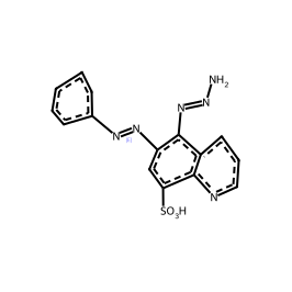 NN=Nc1c(/N=N/c2ccccc2)cc(S(=O)(=O)O)c2ncccc12